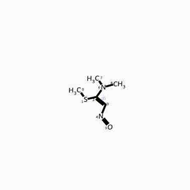 CS/C(=C\N=O)N(C)C